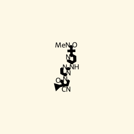 CNC(=O)C(C)(C)c1ccc(Nc2nccc(N3CC[C@@](C#N)(C4CC4)C3=O)n2)cn1